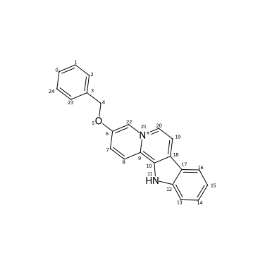 c1ccc(COc2ccc3c4[nH]c5ccccc5c4cc[n+]3c2)cc1